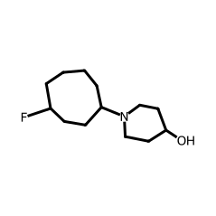 OC1CCN(C2CCCCC(F)CC2)CC1